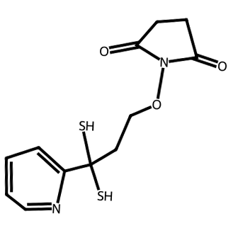 O=C1CCC(=O)N1OCCC(S)(S)c1ccccn1